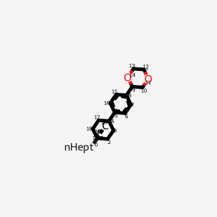 CCCCCCCC12CCC(c3ccc(C4CO[CH]CO4)cc3)(CC1)CC2